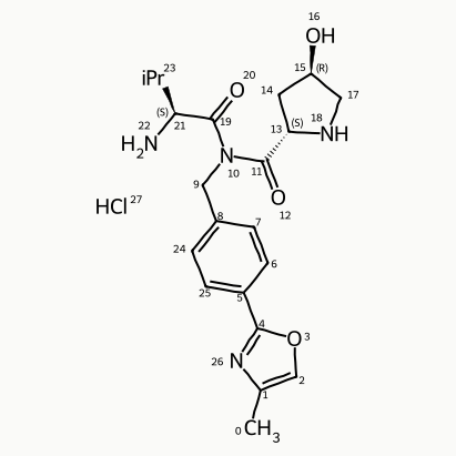 Cc1coc(-c2ccc(CN(C(=O)[C@@H]3C[C@@H](O)CN3)C(=O)[C@@H](N)C(C)C)cc2)n1.Cl